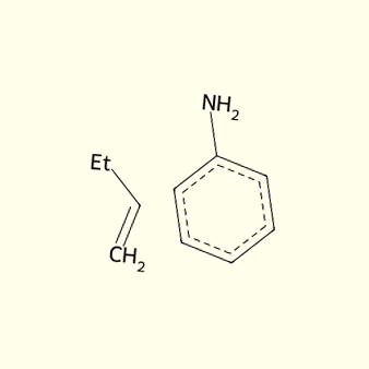 C=CCC.Nc1ccccc1